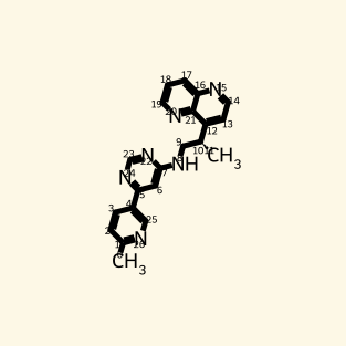 Cc1ccc(-c2cc(NC[C@@H](C)c3ccnc4cccnc34)ncn2)cn1